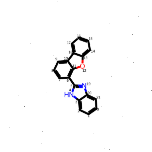 c1ccc2[nH]c(-c3cccc4c3oc3ccccc34)nc2c1